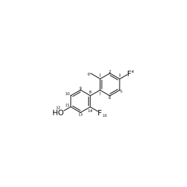 Cc1cc(F)ccc1-c1ccc(O)cc1F